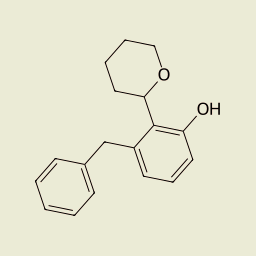 Oc1cccc(Cc2ccccc2)c1C1CCCCO1